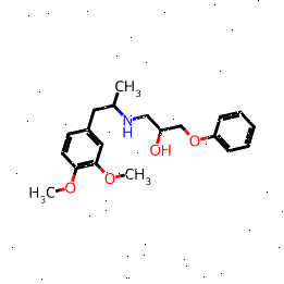 COc1ccc(CC(C)NCC(O)COc2ccccc2)cc1OC